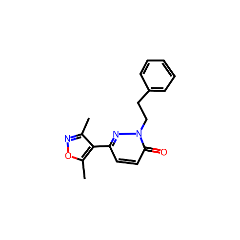 Cc1noc(C)c1-c1ccc(=O)n(CCc2ccccc2)n1